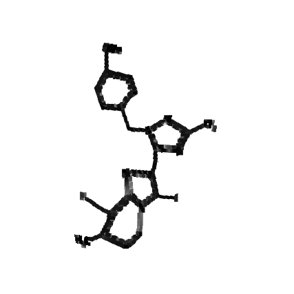 COc1ccc(Cn2nc(C(F)(F)F)nc2-c2nc3c(F)c(C)ccn3c2I)cc1